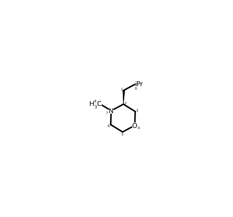 CC(C)C[C@H]1COCCN1C